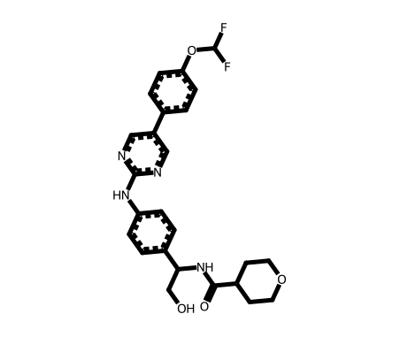 O=C(NC(CO)c1ccc(Nc2ncc(-c3ccc(OC(F)F)cc3)cn2)cc1)C1CCOCC1